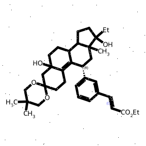 CCOC(=O)/C=C/c1cccc([C@H]2CC3(C)C(CCC3(O)CC)C3CCC4(O)CC5(CCC4=C32)OCC(C)(C)CO5)c1